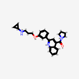 O=C(c1cc(-c2cccc(OCCCNC3CC3)c2)nc2ccccc12)N1CCCC1